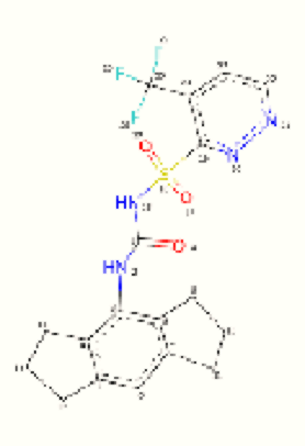 O=C(Nc1c2c(cc3c1CCC3)CCC2)NS(=O)(=O)c1nnccc1C(F)(F)F